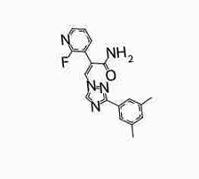 Cc1cc(C)cc(-c2ncn(C=C(C(N)=O)c3cccnc3F)n2)c1